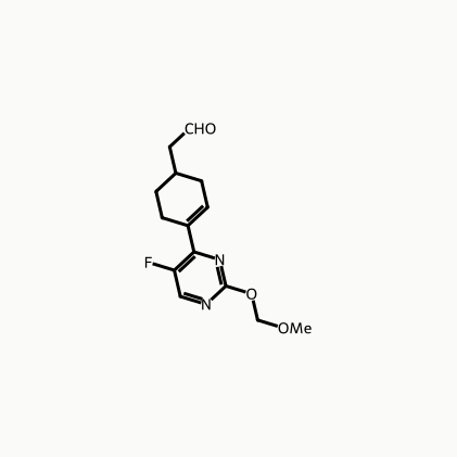 COCOc1ncc(F)c(C2=CCC(CC=O)CC2)n1